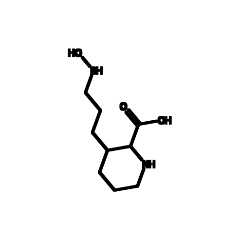 O=C(O)C1NCCCC1CCCBO